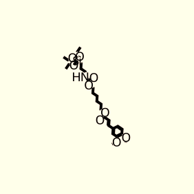 CCO[Si](CCCNC(=O)OCCCCCCOC(=O)C=Cc1ccc(OC)c(OC)c1)(OCC)OCC